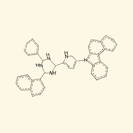 C1=C(C2NC(c3ccccc3)NC(c3cccc4ccccc34)N2)NCC(n2c3ccccc3c3c4ccccc4ccc32)=C1